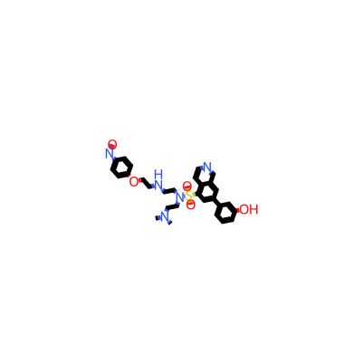 CN(C)CCN(CCNCCOc1ccc(N=O)cc1)S(=O)(=O)c1cc(-c2cccc(O)c2)cc2cnccc12